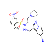 Cc1ccc([N+](=O)[O-])cc1S(=O)(=O)N(CCN1CCCCC1)/N=C\c1cnn2ccc(C#N)cc12